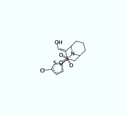 O=C1CC2CCCC(C1=CO)N2S(=O)(=O)c1ccc(Cl)s1